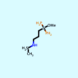 CO[Si](P)(P)CCCN[SiH2]C